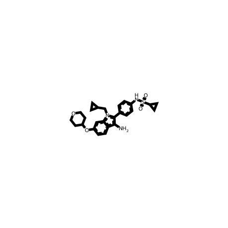 Nc1c(-c2ccc(NS(=O)(=O)C3CC3)cc2)n(CC2CC2)c2cc(OC3CCOCC3)ccc12